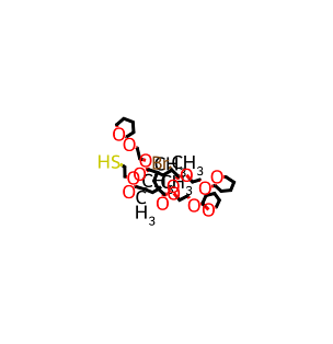 CC(C)(CC(C)(CC(C)(CC(C)(Br)C(=O)OCCOC1CCCCO1)C(=O)OCCOC1CCCCO1)C(=O)OCCOC1CCCCO1)C(=O)OCCS